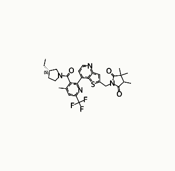 CC[C@H]1CCN(C(=O)c2c(C)cc(C(F)(F)F)nc2-c2ccnc3cc(CN4C(=O)C(C)C(C)(C)C4=O)sc23)C1